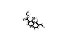 CCOC(=O)c1cnc2ccc(CC)cc2c1N